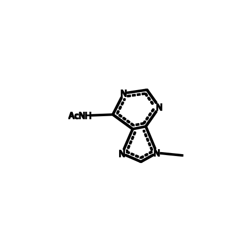 CC(=O)Nc1ncnc2c1ncn2C